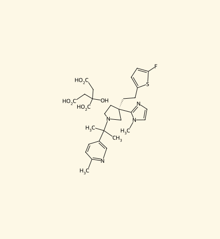 Cc1ccc(C(C)(C)N2CC[C@@](CCc3ccc(F)s3)(c3nccn3C)C2)cn1.O=C(O)CC(O)(CC(=O)O)C(=O)O